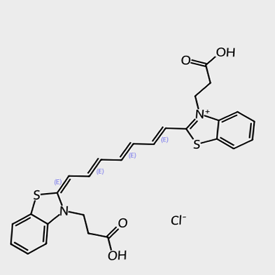 O=C(O)CCN1\C(=C/C=C/C=C/C=C/c2sc3ccccc3[n+]2CCC(=O)O)Sc2ccccc21.[Cl-]